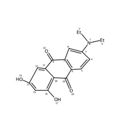 CCN(CC)c1ccc2c(c1)C(=O)c1cc(O)cc(O)c1C2=O